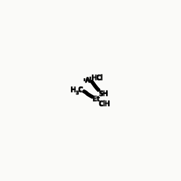 CCC.Cl.Cl.[Al][SH]